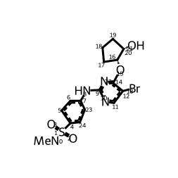 CNS(=O)(=O)c1ccc(Nc2ncc(Br)c(O[C@@H]3CCC[C@@H]3O)n2)cc1